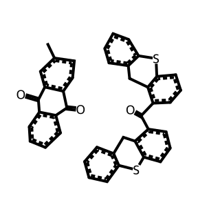 Cc1ccc2c(c1)C(=O)c1ccccc1C2=O.O=C(c1cccc2c1Cc1ccccc1S2)c1cccc2c1Cc1ccccc1S2